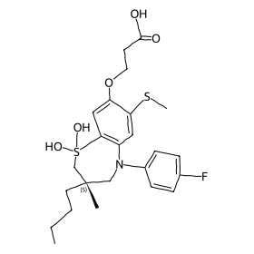 CCCC[C@@]1(C)CN(c2ccc(F)cc2)c2cc(SC)c(OCCC(=O)O)cc2S(O)(O)C1